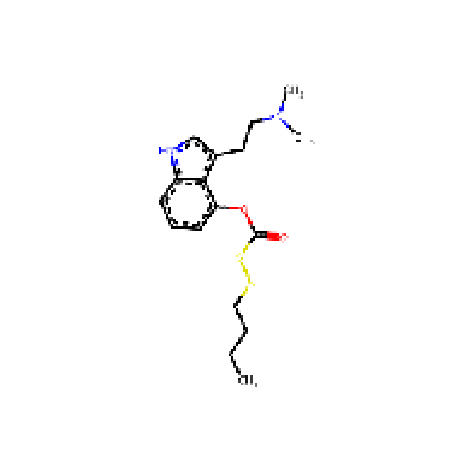 CCCCSSC(=O)Oc1cccc2[nH]cc(CCN(C)C)c12